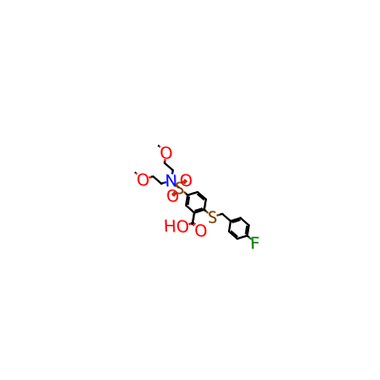 COCCN(CCOC)S(=O)(=O)c1ccc(SCc2ccc(F)cc2)c(C(=O)O)c1